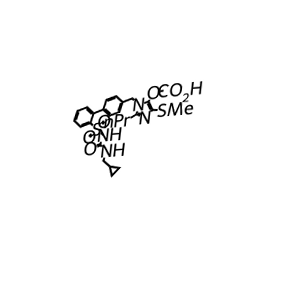 CCCc1nc(SC)c(OC(=O)O)n1Cc1ccc(-c2ccccc2S(=O)(=O)NC(=O)NCC2CC2)cc1